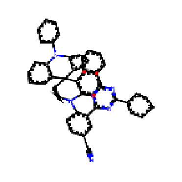 N#Cc1ccc(N2c3ccccc3C3(c4ccccc4N(c4ccccc4)c4ccccc43)c3ccccc32)c(-c2nc(-c3ccccc3)nc(-c3ccccc3)n2)c1